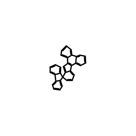 C1=CC2(C3=Cc4c(c5ccccc5c5ccccc45)C3=C1)c1ccccc1-c1ccccc12